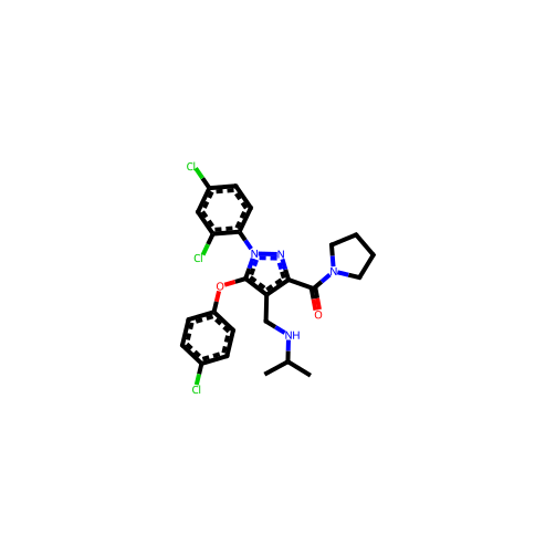 CC(C)NCc1c(C(=O)N2CCCC2)nn(-c2ccc(Cl)cc2Cl)c1Oc1ccc(Cl)cc1